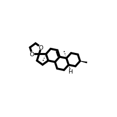 C[C@@H]1CC[C@]2(C)C3=CC[C@@]4(C)C(CCC45OCCO5)C3CC[C@@H]2C1